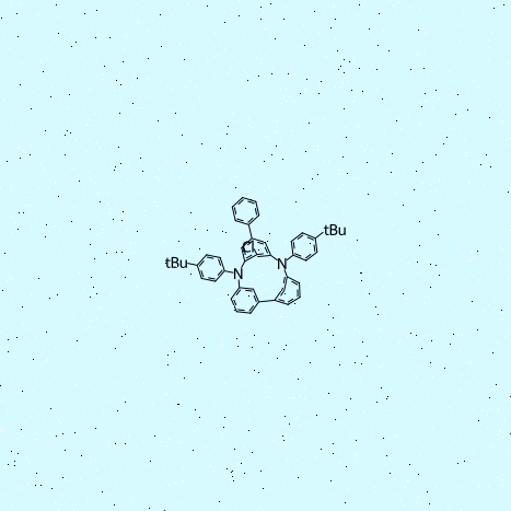 CC(C)(C)c1ccc(N2c3cccc(c3)-c3cccc(c3)N(c3ccc(C(C)(C)C)cc3)c3cc(-c4ccccc4)cc2c3Cl)cc1